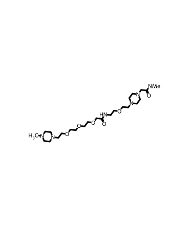 CNC(=O)CN1CCN(CCOCCNC(=O)COCCOCCOCCN2CCN(C)CC2)CC1